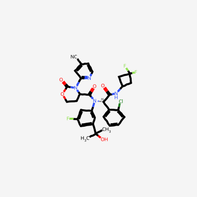 CC(C)(O)c1cc(F)cc(N(C(=O)C2CCOC(=O)N2c2cc(C#N)ccn2)[C@H](C(=O)NC2CC(F)(F)C2)c2ccccc2Cl)c1